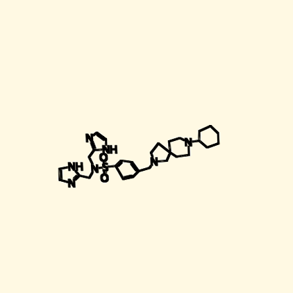 O=S(=O)(c1ccc(CN2CCC3(CCN(C4CCCCC4)CC3)C2)cc1)N(Cc1ncc[nH]1)Cc1ncc[nH]1